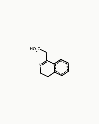 O=C(O)CC1=NCCc2ccccc21